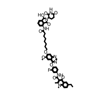 CCc1ccc2c(c1)c(=O)c(C(=O)Nc1ccc(Oc3ncnc4cc(OCCCCCCCC(=O)Nc5cccc6c5C(=O)N(C5CCC(=O)NC5=O)C6O)c(OC)cc34)c(F)c1)c(C)n2C